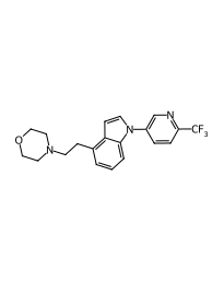 FC(F)(F)c1ccc(-n2ccc3c(CCN4CCOCC4)cccc32)cn1